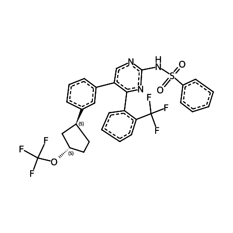 O=S(=O)(Nc1ncc(-c2cccc([C@H]3CC[C@H](OC(F)(F)F)C3)c2)c(-c2ccccc2C(F)(F)F)n1)c1ccccc1